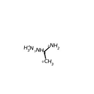 CCN.N.N